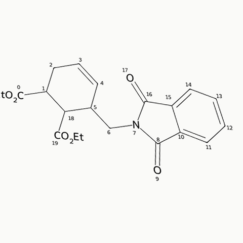 CCOC(=O)C1CC=CC(CN2C(=O)c3ccccc3C2=O)C1C(=O)OCC